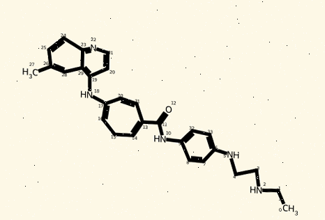 CCNCCNc1ccc(NC(=O)C2=CCC=C(Nc3ccnc4ccc(C)cc34)C=C2)cc1